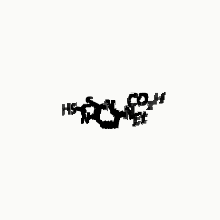 CCN(C(=O)O)c1ccc2nc(S)sc2n1